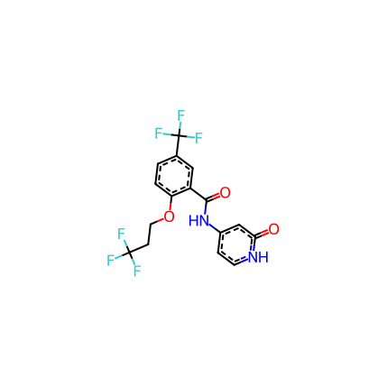 O=C(Nc1cc[nH]c(=O)c1)c1cc(C(F)(F)F)ccc1OCCC(F)(F)F